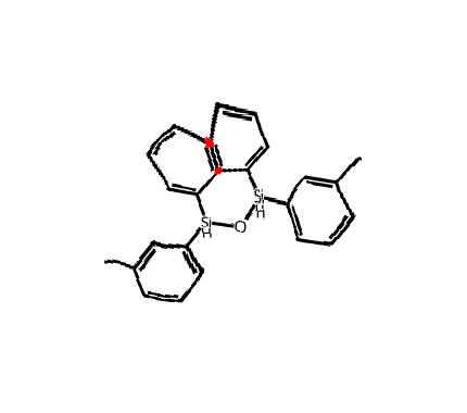 Cc1cccc([SiH](O[SiH](c2ccccc2)c2cccc(C)c2)c2ccccc2)c1